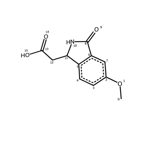 COc1ccc2c(c1)C(=O)NC2CC(=O)O